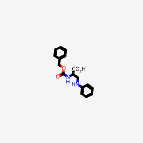 O=C(NC(CNc1ccccc1)C(=O)O)OCc1ccccc1